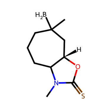 BC1(C)CCCC2[C@H](C1)OC(=S)N2C